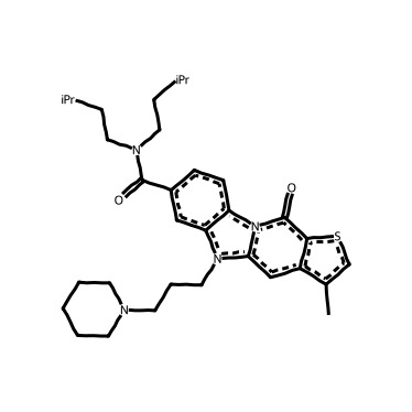 Cc1csc2c(=O)n3c4ccc(C(=O)N(CCC(C)C)CCC(C)C)cc4n(CCCN4CCCCC4)c3cc12